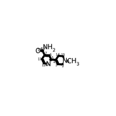 CN1CC=C(c2cc(C(N)=O)ccn2)CC1